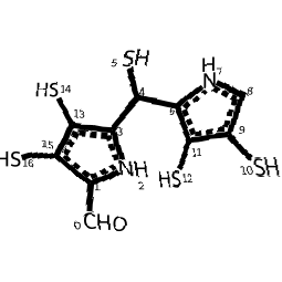 O=Cc1[nH]c(C(S)c2[nH]cc(S)c2S)c(S)c1S